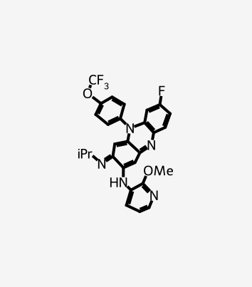 COc1ncccc1Nc1cc2nc3ccc(F)cc3n(-c3ccc(OC(F)(F)F)cc3)c-2c/c1=N\C(C)C